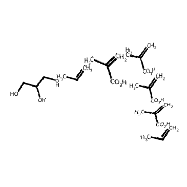 C=C(C)C(=O)O.C=C(C)C(=O)O.C=C(C)C(=O)O.C=C(C)C(=O)O.C=CC.C=CC.OCC(O)CO